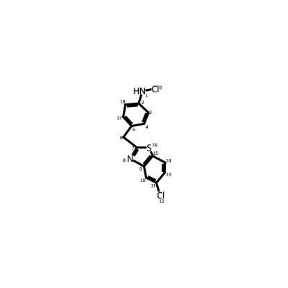 ClNc1ccc(Cc2nc3cc(Cl)ccc3s2)cc1